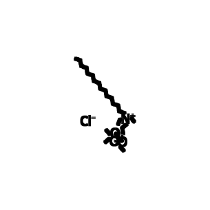 CCCCCCCCCCCCCCCC[N+](CC)(CC)CCC[Si](OCC)(OCC)OCC.[Cl-]